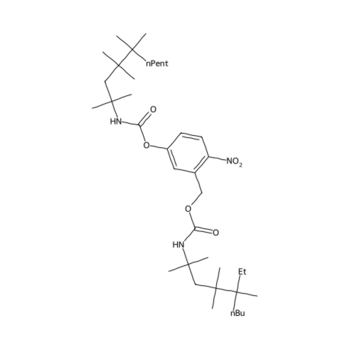 CCCCCC(C)(C)C(C)(C)CC(C)(C)NC(=O)Oc1ccc([N+](=O)[O-])c(COC(=O)NC(C)(C)CC(C)(C)C(C)(CC)CCCC)c1